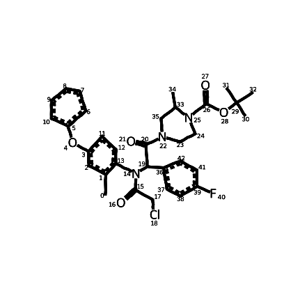 Cc1cc(Oc2ccccc2)ccc1N(C(=O)CCl)C(C(=O)N1CCN(C(=O)OC(C)(C)C)C(C)C1)c1ccc(F)cc1